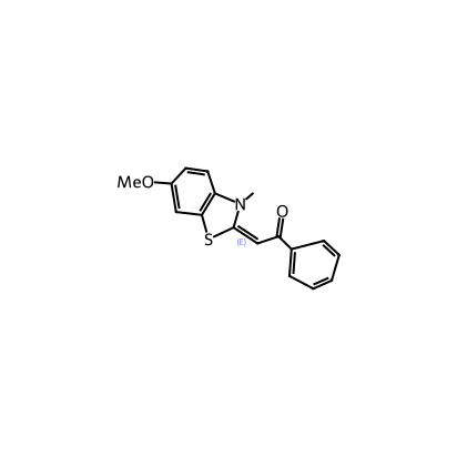 COc1ccc2c(c1)S/C(=C/C(=O)c1ccccc1)N2C